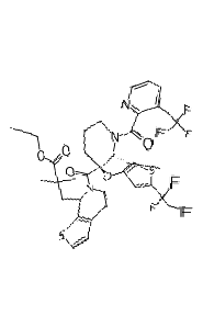 CCC[C@H]1N(C(=O)c2ncccc2C(F)(F)F)CCC[C@@]1(Oc1csc(C(F)(F)F)c1)C(=O)N1CCc2ccsc2C1CC(C)(C)C(=O)OCC